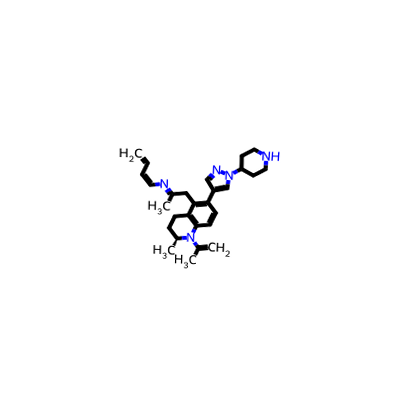 C=C/C=C\N=C(/C)Cc1c(-c2cnn(C3CCNCC3)c2)ccc2c1CC[C@H](C)N2C(=C)C